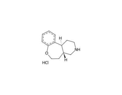 Cl.c1ccc2c(c1)OCC[C@H]1CNCC[C@H]21